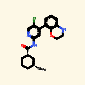 CC(=O)N[C@@H]1CCC[C@H](C(=O)Nc2cc(-c3cccc4c3OCCN4)c(Cl)cn2)C1